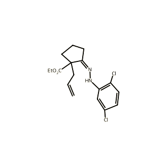 C=CCC1(C(=O)OCC)CCC/C1=N/Nc1cc(Cl)ccc1Cl